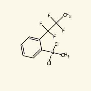 C[Si](Cl)(Cl)c1ccccc1C(F)(F)C(F)(F)C(F)(F)F